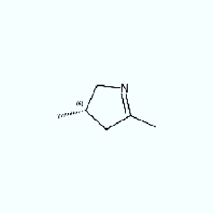 CC1=NC[C@@H](C)C1